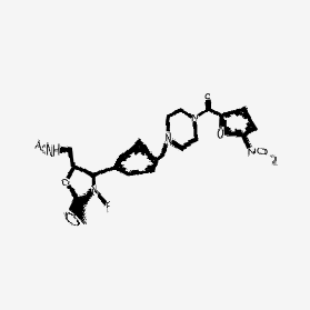 CC(=O)NCC1OC(=O)N(F)C1c1ccc(N2CCN(C(=O)c3ccc([N+](=O)[O-])o3)CC2)cc1